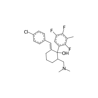 Cc1c(F)c(F)cc(C2(O)C(=Cc3ccc(Cl)cc3)CCCC2CN(C)C)c1F